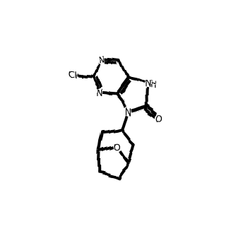 O=c1[nH]c2cnc(Cl)nc2n1C1CC2CCC(C1)O2